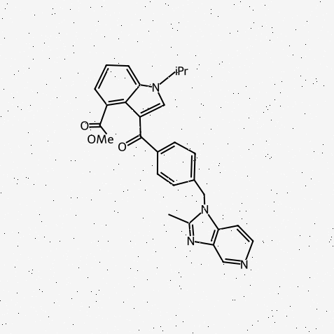 COC(=O)c1cccc2c1c(C(=O)c1ccc(Cn3c(C)nc4cnccc43)cc1)cn2C(C)C